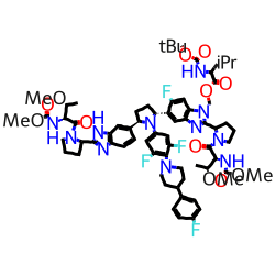 COC(=O)N[C@H](C(=O)N1CCCC1c1nc2ccc([C@H]3CC[C@H](c4cc5nc(C6CCCN6C(=O)[C@@H](NC(=O)OC)[C@@H](C)OC)n(COC(=O)C(NC(=O)OC(C)(C)C)C(C)C)c5cc4F)N3c3cc(F)c(N4CCC(c5ccc(F)cc5)CC4)c(F)c3)cc2[nH]1)[C@@H](C)OC